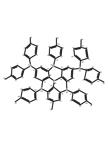 Cc1ccc(N(c2ccc(C)cc2)c2cc3c4c(c2)N(c2ccc(C)cc2)c2cc(N(c5ccc(C)cc5)c5ccc(C)cc5)cc5c2P4c2c(cc(C)cc2N5c2ccc(C)cc2)N3c2ccc(C)cc2)cc1